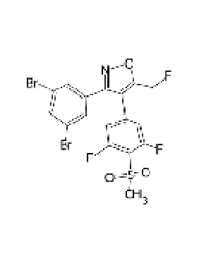 CS(=O)(=O)c1c(F)cc(-c2c(-c3cc(Br)cc(Br)c3)noc2CF)cc1F